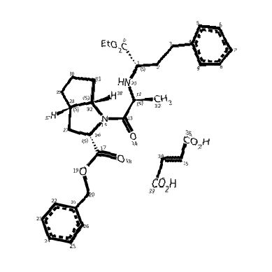 CCOC(=O)[C@H](CCc1ccccc1)N[C@@H](C)C(=O)N1[C@H](C(=O)OCc2ccccc2)C[C@@H]2CCC[C@@H]21.O=C(O)C=CC(=O)O